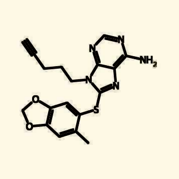 C#CCCCn1c(Sc2cc3c(cc2C)OCO3)nc2c(N)ncnc21